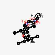 CCC(C)(C)c1ccc2c(c1)C(O)N(c1cc(C(c3ccc(O)c(N4C(=O)c5ccc(-c6cc(-c7ccc(C#Cc8ccccc8)cc7)c(-c7ccc(Oc8ccc(-c9c(-c%10ccc(C#Cc%11ccccc%11)cc%10)cc(C(C)(C)C)c(-c%10ccc(C#Cc%11ccccc%11)cc%10)c9-c9ccccc9)cc8)cc7)c(-c7ccccc7)c6-c6ccc(C#Cc7ccccc7)cc6)cc5C4=O)c3)(C(F)(F)F)C(F)(F)F)ccc1O)C2=O